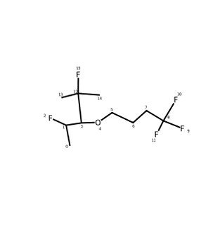 CC(F)C(OCCCC(F)(F)F)C(C)(C)F